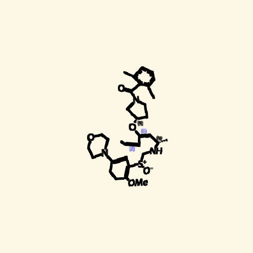 C/C=C\C(=C/[C@H](C)NC[S+]([O-])C1=C(OC)CCC(N2CCOCC2)=C1)O[C@H]1CCN(C(=O)c2c(C)cccc2C)C1